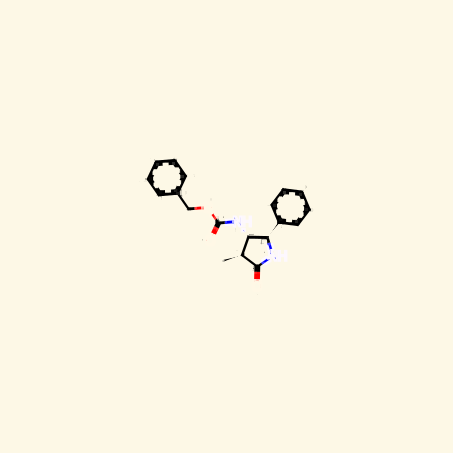 C[C@@H]1C(=O)N[C@H](c2ccccc2)[C@H]1NC(=O)OCc1ccccc1